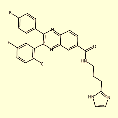 O=C(NCCCc1ncc[nH]1)c1ccc2nc(-c3ccc(F)cc3)c(-c3cc(F)ccc3Cl)nc2c1